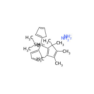 CC1=C(C)C(C)(C)[C]([Zr+2]([C]2=CC=CC2)([C]2=CC=CC2)[SiH](C)C)=C1C.[NH2-].[NH2-]